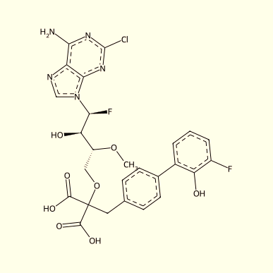 CO[C@H](COC(Cc1ccc(-c2cccc(F)c2O)cc1)(C(=O)O)C(=O)O)[C@@H](O)[C@H](F)n1cnc2c(N)nc(Cl)nc21